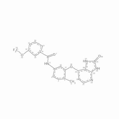 Cc1ccc(NC(=O)c2cccc(OC(F)(F)F)c2)cc1Oc1ccnc2[nH]c(=O)[nH]c12